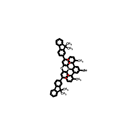 Cc1ccccc1-c1cc(C(C)(C)C)cc(-c2ccccc2C)c1N1c2ccc(-c3ccc4c(c3)C(C)(C)c3ccccc3-4)cc2Oc2cc(-c3ccc4c(c3)C(C)(C)c3ccccc3-4)ccc21